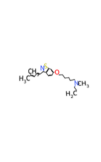 C=CCN(C)CCCCCCOc1ccc2c(/C=C/C=C(C)C)nsc2c1